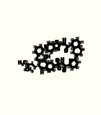 CN(C)CC[C@H](CSc1ccccc1)Nc1ncc(S(=O)(=O)NC(=O)c2cccc(N3CCc4cccc(C(=O)Nc5nc6cnccc6s5)c4C3)n2)cc1NO